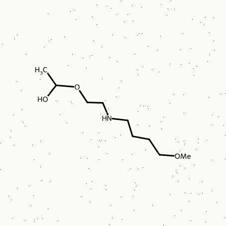 COCCCCNCCOC(C)O